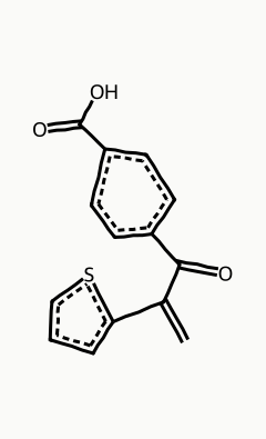 C=C(C(=O)c1ccc(C(=O)O)cc1)c1cccs1